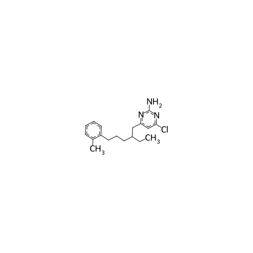 CCC(CCCc1ccccc1C)Cc1cc(Cl)nc(N)n1